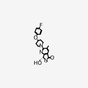 Cc1cc2c(nc1N1CCC(Oc3ccc(F)cc3)CC1)[C@@H](CO)N(C)C2=O